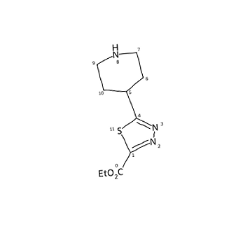 CCOC(=O)c1nnc(C2CCNCC2)s1